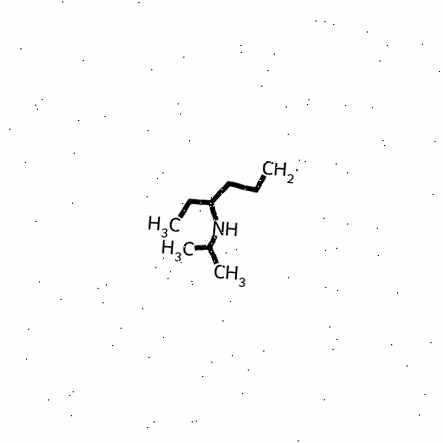 [CH2]CCC(CC)NC(C)C